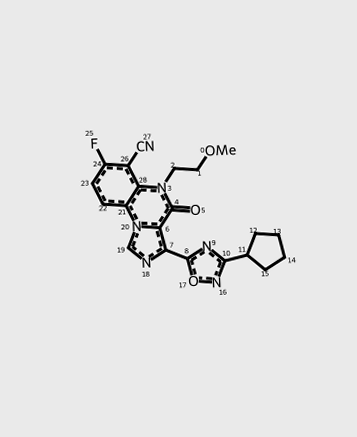 COCCn1c(=O)c2c(-c3nc(C4CCCC4)no3)ncn2c2ccc(F)c(C#N)c21